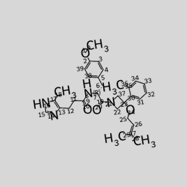 COc1ccc(C[C@@H](NC(=O)CCc2nc[nH]c2C)C(=O)N2CC(OCC=C(C)C)(c3ccccc3C)C2)cc1